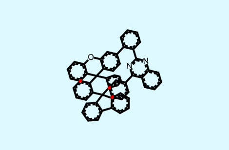 c1ccc(-c2nc(-c3ccccc3-c3ccc4c(c3)Oc3ccccc3C43c4ccccc4C4(c5ccccc5-c5ccccc54)c4ccccc43)nc3ccccc23)cc1